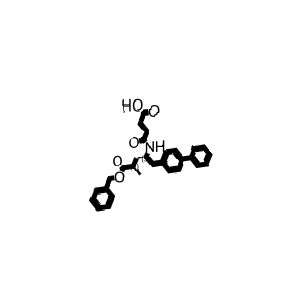 C[C@H](C[C@@H](Cc1ccc(-c2ccccc2)cc1)NC(=O)CCC(=O)O)C(=O)OCc1ccccc1